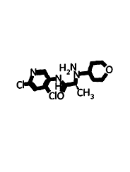 C[C@H](C(=O)Nc1cnc(Cl)cc1Cl)N(N)C1CCOCC1